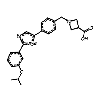 CC(C)Oc1cccc(-c2ncc(-c3ccc(CN4CC(C(=O)O)C4)cc3)[se]2)c1